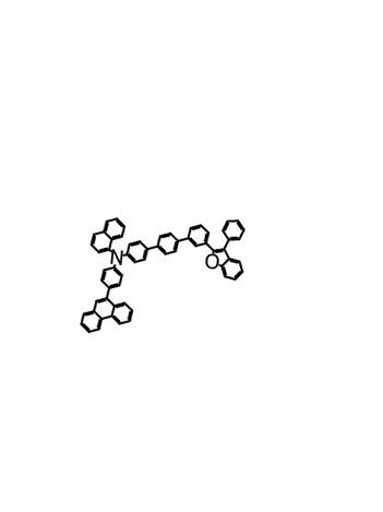 c1ccc(-c2c(-c3cccc(-c4ccc(-c5ccc(N(c6ccc(-c7cc8ccccc8c8ccccc78)cc6)c6cccc7ccccc67)cc5)cc4)c3)oc3ccccc23)cc1